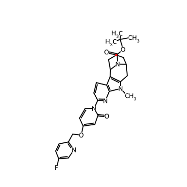 Cn1c2c(c3ccc(-n4ccc(OCc5ccc(F)cn5)cc4=O)nc31)C1CCCC(C2)N1C(=O)OC(C)(C)C